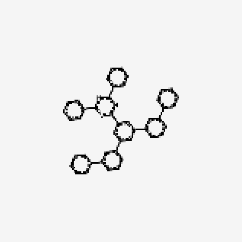 c1ccc(-c2cccc(-c3cc(-c4cccc(-c5ccccc5)c4)cc(-c4nc(-c5ccccc5)nc(-c5ccccc5)n4)c3)c2)cc1